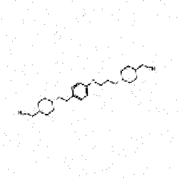 CC[C@H]1CC[C@H](CCCOc2ccc(CC[C@H]3CC[C@H](CC)CC3)cc2)CC1